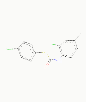 Cc1ccc(NC(=O)Sc2ccc(Cl)cc2)c(Cl)c1